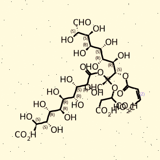 O=C[C@@H](O)[C@@H](O)[C@H](O)[C@H](O)[C@@H](O)[C@@H](O)[C@H](OC(=O)/C=C\C(=O)O)[C@@](C=O)(OC(=O)[C@H](O)[C@@H](O)[C@H](O)[C@H](O)[C@@H](O)[C@@H](O)[C@H](O)[C@H](O)C(=O)O)OC(CC(=O)O)C(=O)O